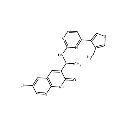 Cc1cscc1-c1ccnc(N[C@@H](C)c2cc3cc(Cl)cnc3[nH]c2=O)n1